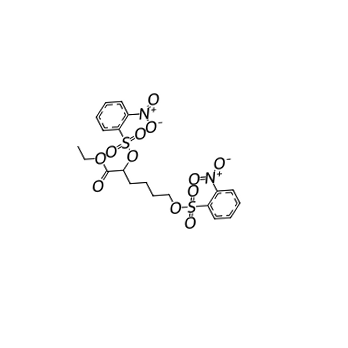 CCOC(=O)C(CCCCOS(=O)(=O)c1ccccc1[N+](=O)[O-])OS(=O)(=O)c1ccccc1[N+](=O)[O-]